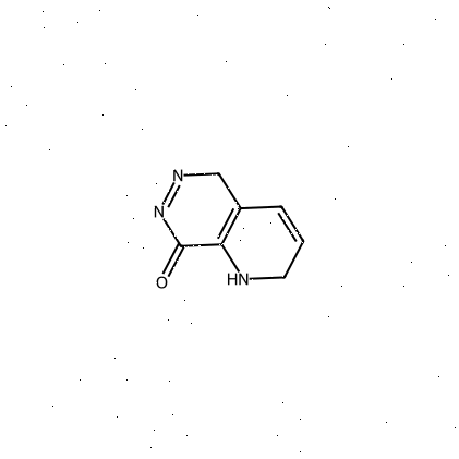 O=C1N=NCC2=C1NCC=C2